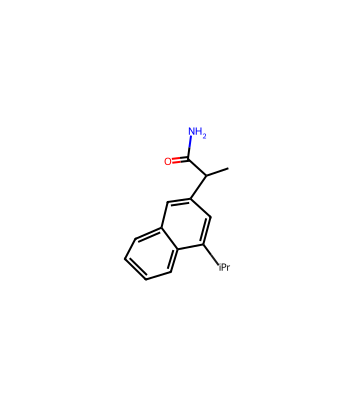 CC(C)c1cc(C(C)C(N)=O)cc2ccccc12